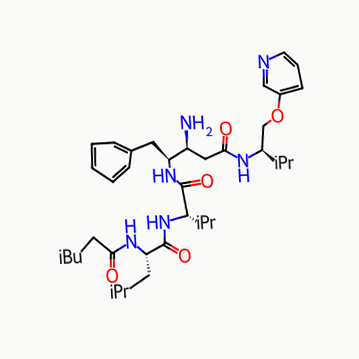 CCC(C)CC(=O)N[C@@H](CC(C)C)C(=O)N[C@H](C(=O)N[C@@H](Cc1ccccc1)[C@@H](N)CC(=O)N[C@@H](COc1cccnc1)C(C)C)C(C)C